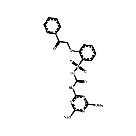 COc1nc(NC(=O)NS(=O)(=O)c2ccccc2OCC(=O)c2ccccc2)nc(OC)n1